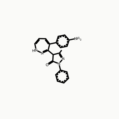 CC1=NN(c2ccccc2)C(=O)C1C1=NNC=CC=C1c1ccc(N)cc1